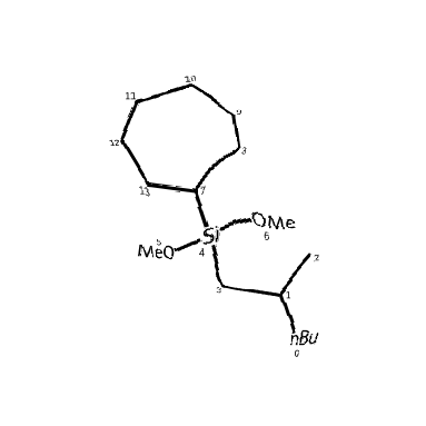 CCCCC(C)C[Si](OC)(OC)C1CCCCCC1